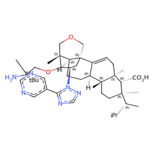 CC(C)[C@@H](C)[C@@]1(C)CC[C@]2(C)[C@H]3CC[C@@H]4[C@@]5(COC[C@@]4(C)C(OC[C@](C)(N)C(C)(C)C)[C@H](n4ncnc4-c4cncnc4)C5)C3=CC[C@@]2(C)[C@@H]1C(=O)O